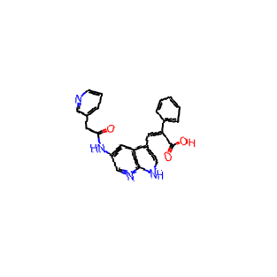 O=C(Cc1cccnc1)Nc1cnc2[nH]cc(C=C(C(=O)O)c3ccccc3)c2c1